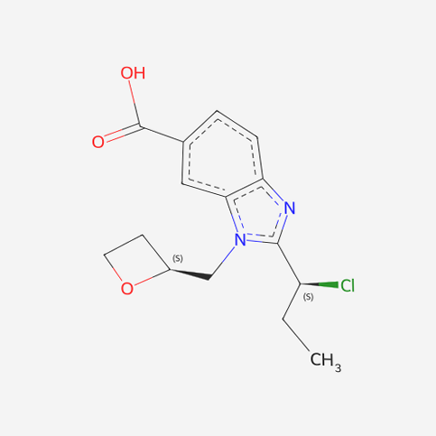 CC[C@H](Cl)c1nc2ccc(C(=O)O)cc2n1C[C@@H]1CCO1